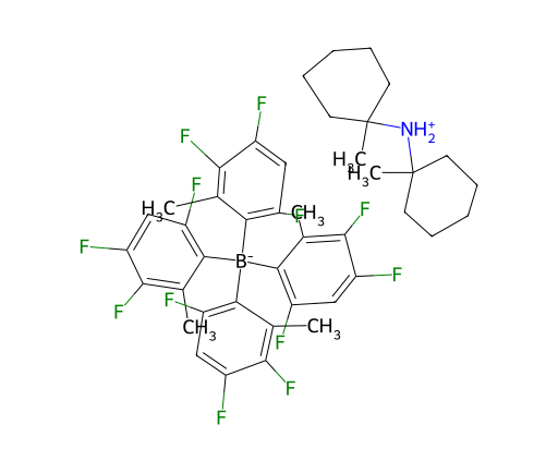 CC1([NH2+]C2(C)CCCCC2)CCCCC1.Cc1c(F)c(F)cc(F)c1[B-](c1c(F)cc(F)c(F)c1C)(c1c(F)cc(F)c(F)c1C)c1c(F)cc(F)c(F)c1C